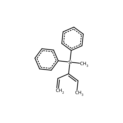 C=C/C(=C\C)[Si](C)(c1ccccc1)c1ccccc1